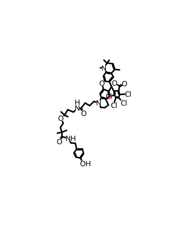 CC1=CC(C)(C)N(C)c2cc3c(cc21)C1(OC(=O)c2c(Cl)c(Cl)c(Cl)c(Cl)c21)c1cc2c(cc1O3)N(CCCC(=O)NCCC(C)(C)OCCC(C)(C)C(=O)NCCc1ccc(O)cc1)CCC2